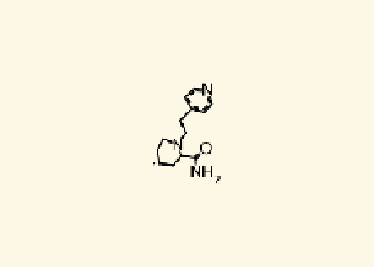 NC(=O)C1C[CH]CCN1CCc1ccncc1